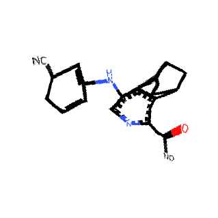 N#CC1C=C(Nc2cnc(C(=O)N=O)c3c2C2CCC3C2)C=CC1